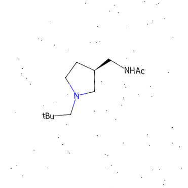 CC(=O)NC[C@@H]1CCN(CC(C)(C)C)C1